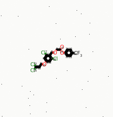 O=C(COCc1c(Cl)cc(OCC=C(Cl)Cl)cc1Cl)Oc1ccc(C(F)(F)F)cc1